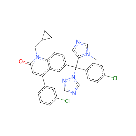 Cn1cncc1C(c1ccc(Cl)cc1)(c1ccc2c(c1)c(-c1cccc(Cl)c1)cc(=O)n2CC1CC1)n1cncn1